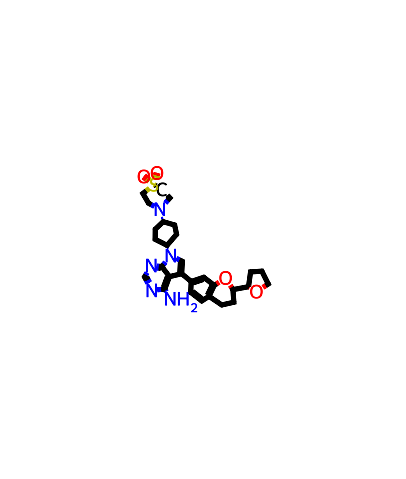 Nc1ncnc2c1c(-c1ccc3c(c1)OC(C1CCCO1)CC3)cn2[C@H]1CC[C@@H](N2CCS(=O)(=O)CC2)CC1